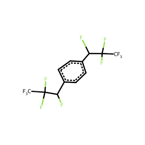 FC(c1ccc(C(F)C(F)(F)C(F)(F)F)cc1)C(F)(F)C(F)(F)F